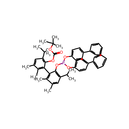 Cc1cc(C(C)C)c(OC(=O)OC(C)(C)C)c(-c2c(C)c(C)cc(C(C)C)c2OP(Oc2ccc(-c3ccccc3)cc2)Oc2ccc(-c3ccccc3)cc2)c1C